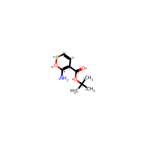 CC(C)(C)OC(=O)C1=C(N)OSC=C1